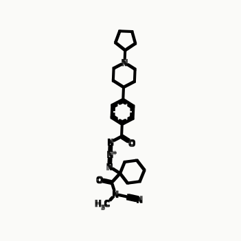 CN(C#N)C(=O)C1(N=[N+]=NC(=O)c2ccc(C3CCN(C4CCCC4)CC3)cc2)CCCCC1